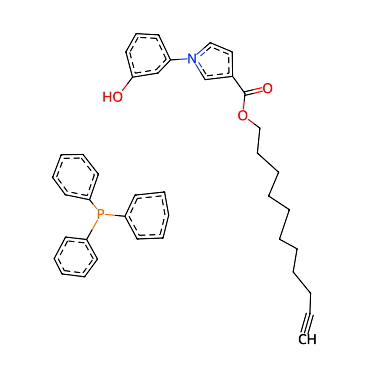 C#CCCCCCCCCCOC(=O)c1ccn(-c2cccc(O)c2)c1.c1ccc(P(c2ccccc2)c2ccccc2)cc1